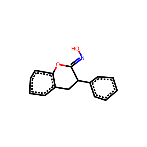 ON=C1Oc2ccccc2CC1c1ccccc1